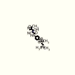 Cc1oncc1/C(O)=C(\C#N)C(=O)Nc1ccc(S(=O)(=O)N(C)CCN(C)C)cc1